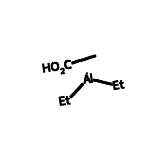 CC(=O)O.C[CH2][Al][CH2]C